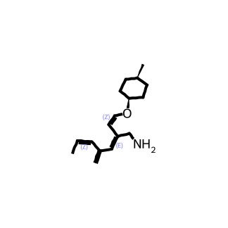 C=C(/C=C\C)/C=C(\C=C/O[C@H]1CC[C@@H](C)CC1)CN